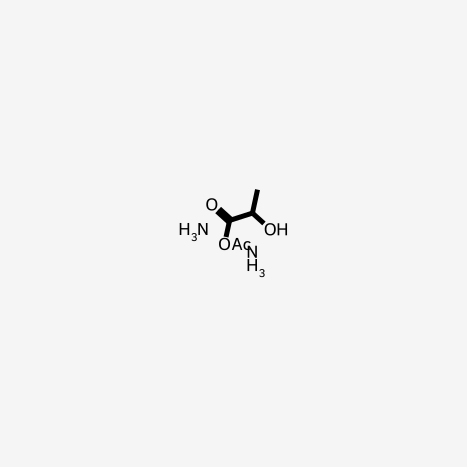 CC(=O)OC(=O)C(C)O.N.N